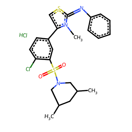 CC1CC(C)CN(S(=O)(=O)c2cc(-c3cs/c(=N/c4ccccc4)n3C)ccc2Cl)C1.Cl